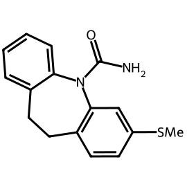 CSc1ccc2c(c1)N(C(N)=O)c1ccccc1CC2